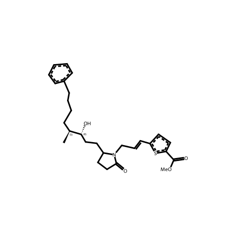 COC(=O)c1ccc(C=CCN2C(=O)CCC2CC[C@@H](O)[C@@H](C)CCCCc2ccccc2)s1